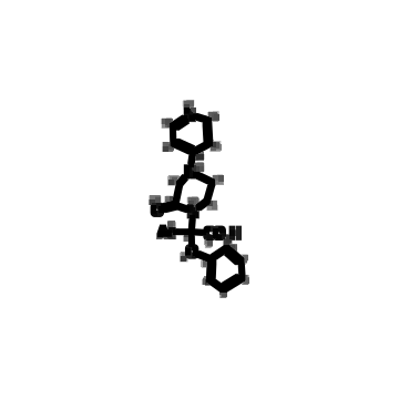 CC(=O)C(Oc1ccccc1)(C(=O)O)N1CCN(c2ccncc2)CC1=O